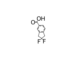 O=C(O)c1ccc2c(c1)CC(F)(F)C2